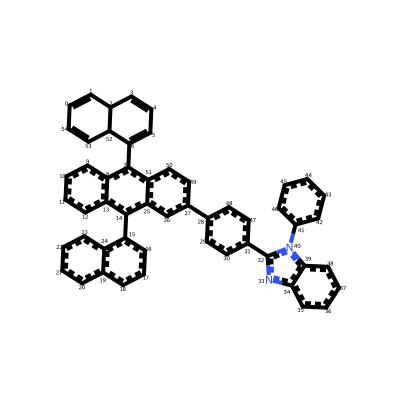 C1=CC2C=CC=C(c3c4ccccc4c(-c4cccc5ccccc45)c4cc(-c5ccc(-c6nc7ccccc7n6-c6ccccc6)cc5)ccc34)C2C=C1